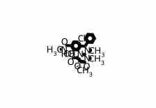 COc1c(C(=O)O)nc(N(C)C(c2ccccc2)c2ccc(C(=O)N(C)C)cc2Cl)n(C)c1=O